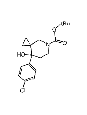 CC(C)(C)OC(=O)N1CCC(O)(c2ccc(Cl)cc2)C2(CC2)C1